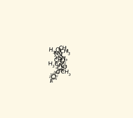 Cc1cnc(C(C)(C)C)nc1-c1cc(-n2c(C)cc(OCc3ccc(F)cc3)c(C)c2=O)ccn1